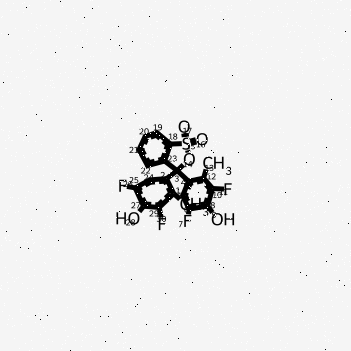 Cc1c(C2(c3cc(F)c(O)c(F)c3C)OS(=O)(=O)c3ccccc32)cc(F)c(O)c1F